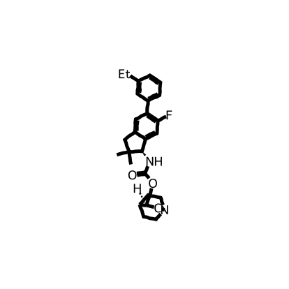 CCc1cccc(-c2cc3c(cc2F)[C@H](NC(=O)O[C@H]2CN4CCC2CC4)C(C)(C)C3)c1